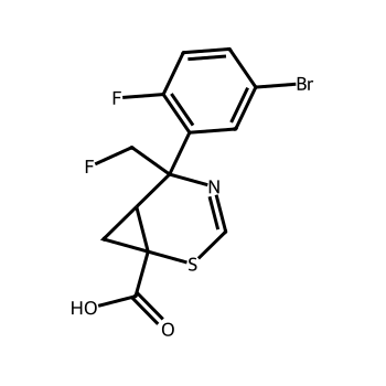 O=C(O)C12CC1C(CF)(c1cc(Br)ccc1F)N=CS2